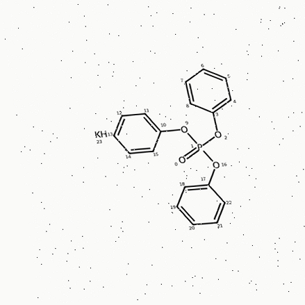 O=P(Oc1ccccc1)(Oc1ccccc1)Oc1ccccc1.[KH]